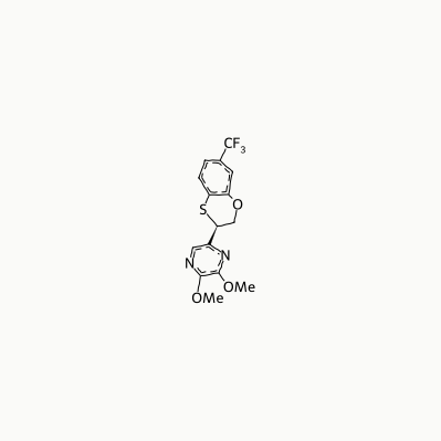 COc1ncc([C@@H]2COc3cc(C(F)(F)F)ccc3S2)nc1OC